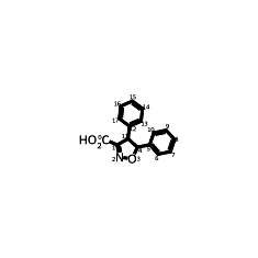 O=C(O)C1=NOC(c2ccccc2)C1c1ccccc1